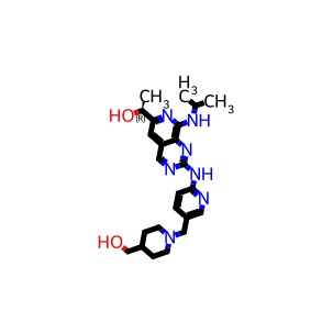 CC(C)Nc1nc([C@@H](C)O)cc2cnc(Nc3ccc(CN4CCC(CO)CC4)cn3)nc12